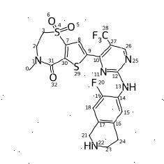 CN1CCS(=O)(=O)c2cc(-c3nc(Nc4cc5c(cc4F)CNCC5)ncc3C(F)(F)F)sc2C1=O